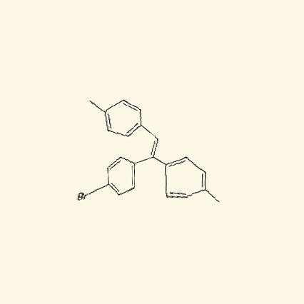 Cc1ccc(C=C(c2ccc(C)cc2)c2ccc(Br)cc2)cc1